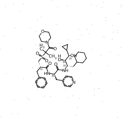 CC(C)(C(=O)N1CCOCC1)S(=O)(=O)C[C@@H](Cc1ccccc1)C(=O)N[C@H](Cc1ccncc1)C(=O)N[C@@H](CC1CCCCC1)[C@@H](O)[C@@H](O)C1CC1